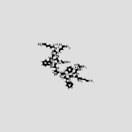 CSCC[C@H](NC(=O)[C@@H](NC(=O)C(NC(=O)[C@H](Cc1ccc(O)cc1)NC(=O)[C@H](Cc1ccccc1)NC(=O)[C@H](CCCNC(=N)N)NC(=O)[C@H](N)CCCCN)C(C)C)C(C)C)C(=O)N[C@@H](Cc1c[nH]c2ccccc12)C(=O)N[C@@H](CCCCN)C(=O)N[C@H](CCCCN)C(=O)O